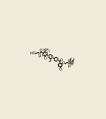 CC[C@H]1CN(c2nc(N)c(C(=O)NCCO)nc2Cl)CCN1C1CCN(C(=O)c2ccc(Cl)cc2OCCNS(=O)(=O)C(F)(F)F)CC1